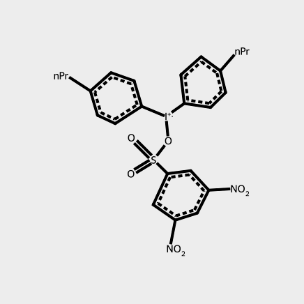 CCCc1ccc([I+](OS(=O)(=O)c2cc([N+](=O)[O-])cc([N+](=O)[O-])c2)c2ccc(CCC)cc2)cc1